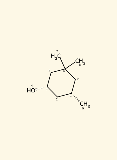 C[C@@H]1C[C@H](O)CC(C)(C)C1